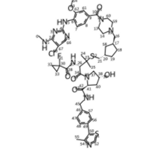 CNc1nc(Nc2ccc(C(=O)N3CCN(C[C@H]4CC[C@H](CSC(C)(C)[C@@H](NC(=O)C5(F)CC5)C(=O)N5C[C@H](O)C[C@H]5C(=O)NCc5ccc(-c6scnc6C)cc5)C4)CC3)cc2OC)ncc1Cl